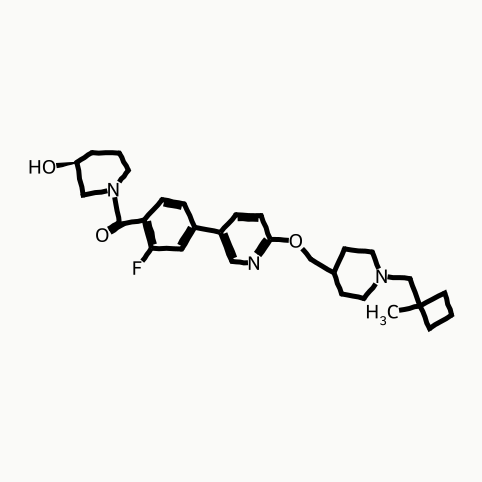 CC1(CN2CCC(COc3ccc(-c4ccc(C(=O)N5CCC[C@H](O)C5)c(F)c4)cn3)CC2)CCC1